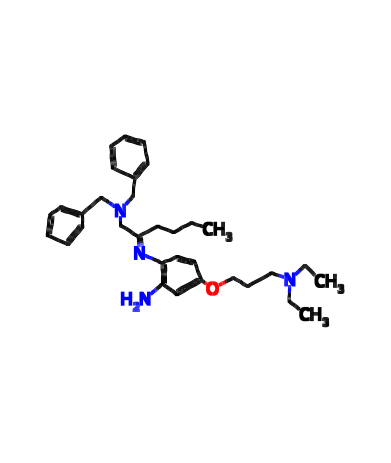 CCCC/C(CN(Cc1ccccc1)Cc1ccccc1)=N\c1ccc(OCCCN(CC)CC)cc1N